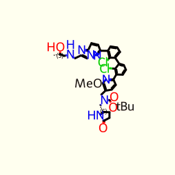 COc1nc(-c2cccc(-c3cccc(-c4ccc5nc(CNC[C@H](C)O)cn5n4)c3Cl)c2Cl)ccc1CN(C[C@@H]1CCC(=O)N1)C(=O)OC(C)(C)C